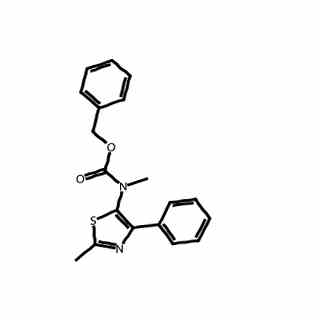 Cc1nc(-c2ccccc2)c(N(C)C(=O)OCc2ccccc2)s1